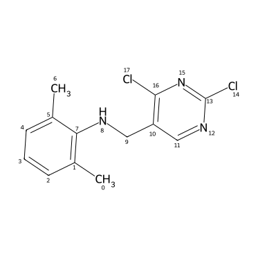 Cc1cccc(C)c1NCc1cnc(Cl)nc1Cl